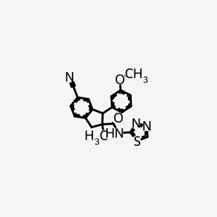 COc1cccc(C2c3cc(C#N)ccc3CC2(C)C(=O)Nc2nncs2)c1